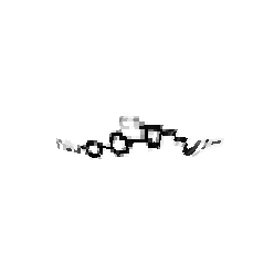 CCCCc1ccc(-c2ccc(-c3ccc(CCCCO)cc3CC)cc2)cc1